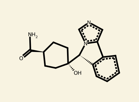 NC(=O)[C@H]1CC[C@@](O)([C@H]2c3ccccc3-c3cncn32)CC1